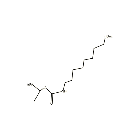 CCCCCCCCCCCCCCCCCCNC(=O)OC(C)CCCC